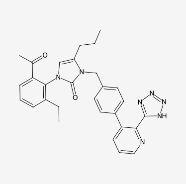 CCCc1cn(-c2c(CC)cccc2C(C)=O)c(=O)n1Cc1ccc(-c2cccnc2-c2nnn[nH]2)cc1